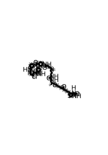 CC(CNC(=O)NCCCN(C)C/C=C/C(=O)Nc1ccc(C(=O)Nc2cccc(Nc3ncc(Cl)c(-c4c[nH]c5ccccc45)n3)c2)cc1)COCCCCC(=O)CCCCC1SCC2NC(=O)NC21